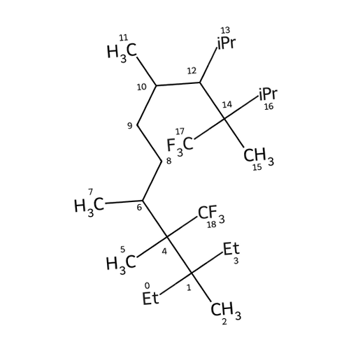 CCC(C)(CC)C(C)(C(C)CCC(C)C(C(C)C)C(C)(C(C)C)C(F)(F)F)C(F)(F)F